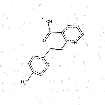 Cc1ccc(/C=C/c2ncccc2C(=O)O)cc1